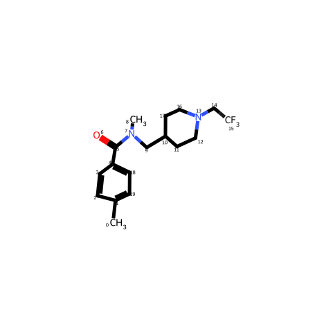 Cc1ccc(C(=O)N(C)CC2CCN(CC(F)(F)F)CC2)cc1